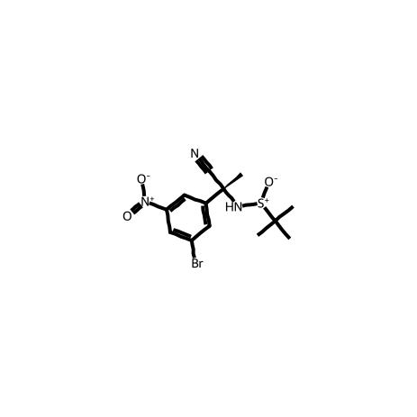 CC(C)(C)[S+]([O-])N[C@@](C)(C#N)c1cc(Br)cc([N+](=O)[O-])c1